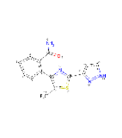 NC(=O)c1ccccc1-c1nc(-c2cc[nH]n2)sc1C(F)(F)F